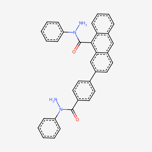 NN(C(=O)c1ccc(-c2ccc3cc4ccccc4c(C(=O)N(N)c4ccccc4)c3c2)cc1)c1ccccc1